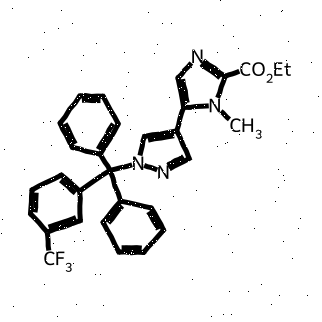 CCOC(=O)c1ncc(-c2cnn(C(c3ccccc3)(c3ccccc3)c3cccc(C(F)(F)F)c3)c2)n1C